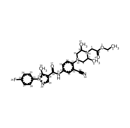 CCOC(=O)CN1C(C)CN(c2ccc(NC(=O)c3cnn(-c4ccc(F)cc4)c3C)cc2C#N)CC1C